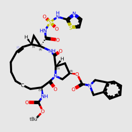 CC(C)(C)OC(=O)N[C@H]1CCCCC/C=C\[C@@H]2C[C@@]2(C(=O)NS(=O)(=O)Nc2nccs2)NC(=O)[C@@H]2C[C@@H](OC(=O)N3Cc4ccccc4C3)CN2C1=O